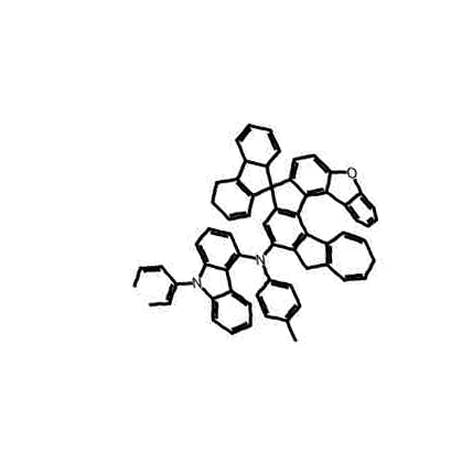 C/C=C\C(=C/C)n1c2ccccc2c2c(N(c3ccc(C)cc3)c3cc4c(c5c3CC3=C5C=CCC=C3)-c3c(ccc5oc6ccccc6c35)C43C4=C(CCC=C4)C4C=CC=CC43)cccc21